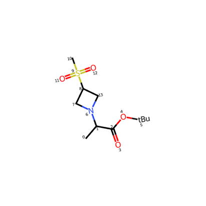 CC(C(=O)OC(C)(C)C)N1CC(S(C)(=O)=O)C1